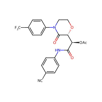 CC(=O)O[C@@H](C(=O)Nc1ccc(C#N)cc1)[C@H]1OCCN(c2ccc(C(F)(F)F)cc2)C1=O